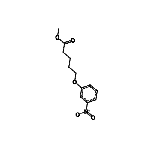 COC(=O)CCCCOc1cccc([N+](=O)[O-])c1